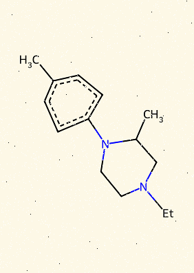 CCN1CCN(c2ccc(C)cc2)C(C)C1